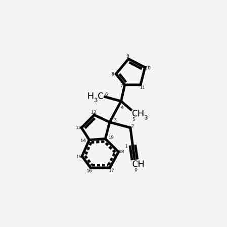 C#CCC1(C(C)(C)C2=CC=CC2)C=Cc2ccccc21